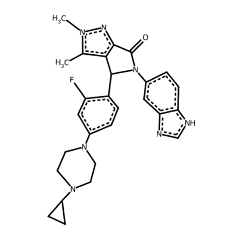 Cc1c2c(nn1C)C(=O)N(c1ccc3[nH]cnc3c1)C2c1ccc(N2CCN(C3CC3)CC2)cc1F